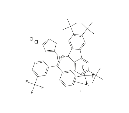 CC(C)(C)c1cc2c(cc1C(C)(C)C)[CH]([Hf+2]([C]1=CC=CC1)=[C](c1cccc(C(F)(F)F)c1)c1cccc(C(F)(F)F)c1)c1cc(C(C)(C)C)c(C(C)(C)C)cc1-2.[Cl-].[Cl-]